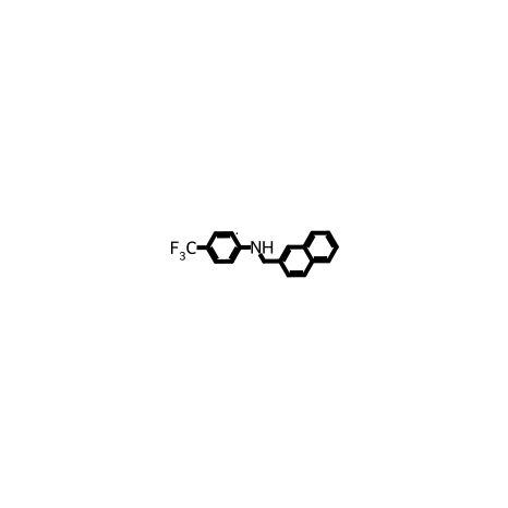 FC(F)(F)c1c[c]c(NCc2ccc3ccccc3c2)cc1